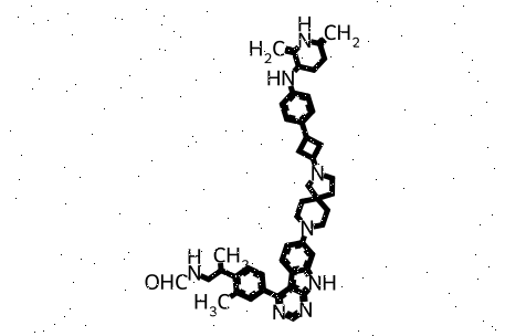 C=C1CCC(Nc2ccc(C3CC(N4CCC5(CCN(c6ccc7c(c6)[nH]c6ncnc(-c8ccc(C(C)CNC=O)c(C)c8)c67)CC5)C4)C3)cc2)C(=C)N1